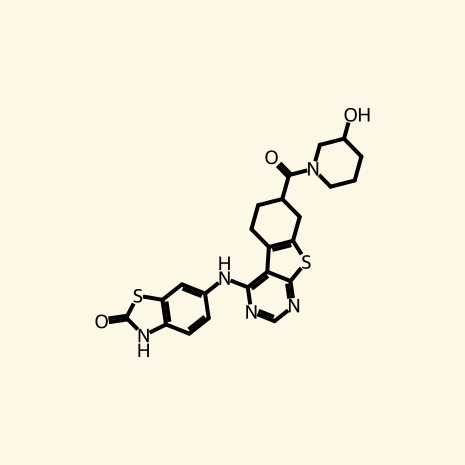 O=C(C1CCc2c(sc3ncnc(Nc4ccc5[nH]c(=O)sc5c4)c23)C1)N1CCCC(O)C1